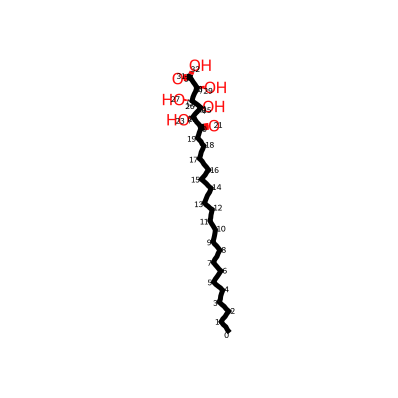 CCCCCCCCCCCCCCCCCCCCC(=O)[C@H](O)[C@@H](O)[C@H](O)[C@H](O)C(=O)O